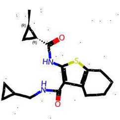 C[C@@H]1C[C@H]1C(=O)Nc1sc2c(c1C(=O)NCC1CC1)CCCC2